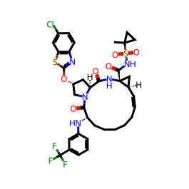 CC1(S(=O)(=O)NC(=O)[C@@]23C[C@H]2/C=C\CCCCC[C@H](Nc2cccc(C(F)(F)F)c2)C(=O)N2C[C@H](Oc4nc5ccc(Cl)cc5s4)C[C@H]2C(=O)N3)CC1